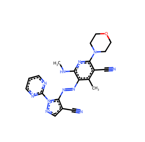 CNc1nc(N2CCOCC2)c(C#N)c(C)c1/N=N/c1c(C#N)cnn1-c1ncccn1